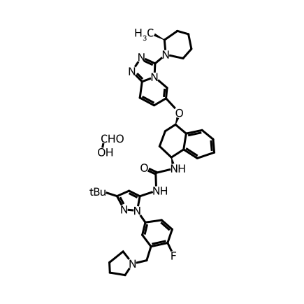 C[C@H]1CCCCN1c1nnc2ccc(O[C@@H]3CC[C@H](NC(=O)Nc4cc(C(C)(C)C)nn4-c4ccc(F)c(CN5CCCC5)c4)c4ccccc43)cn12.O=CO